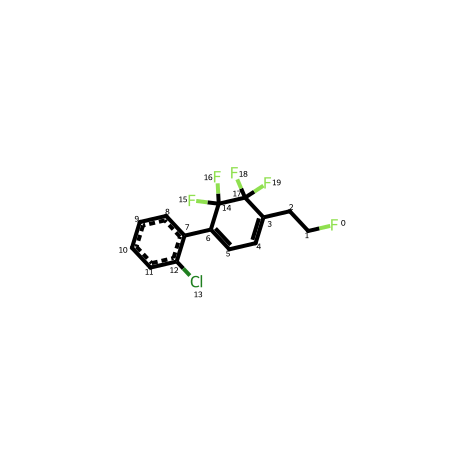 FCCC1=CC=C(c2ccccc2Cl)C(F)(F)C1(F)F